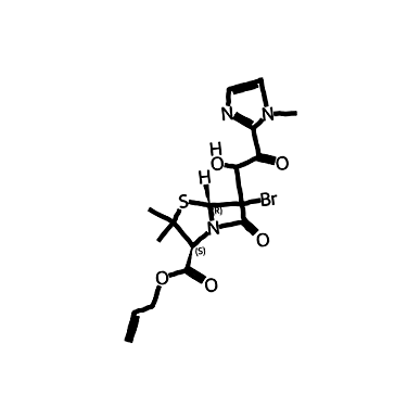 C=CCOC(=O)[C@@H]1N2C(=O)C(Br)(C(O)C(=O)c3nccn3C)[C@H]2SC1(C)C